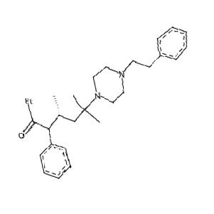 CCC(=O)C(c1ccccc1)[C@H](C)CC(C)(C)N1CCN(CCc2ccccc2)CC1